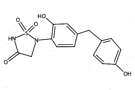 O=C1CN(c2ccc(Cc3ccc(O)cc3)cc2O)S(=O)(=O)N1